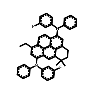 CCc1cc(N(c2ccccc2)c2cccc(F)c2)c2cc3c4c(cc(N(c5ccccc5)c5cccc(F)c5)c5ccc1c2c54)CCC3(C)C